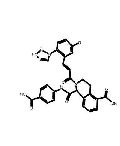 O=C(O)c1ccc(NC(=O)C2c3cccc(C(=O)O)c3CCN2C(=O)/C=C/c2cc(Cl)ccc2N2C=NNN2)cc1